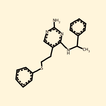 CC(Nc1nc(N)ncc1CCSc1ccccc1)c1ccccc1